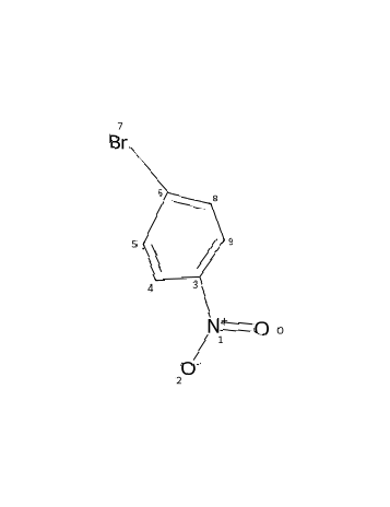 O=[N+]([O-])c1c[c]c(Br)cc1